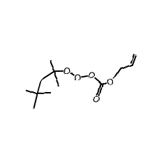 C=CCOC(=O)OOOC(C)(C)CC(C)(C)C